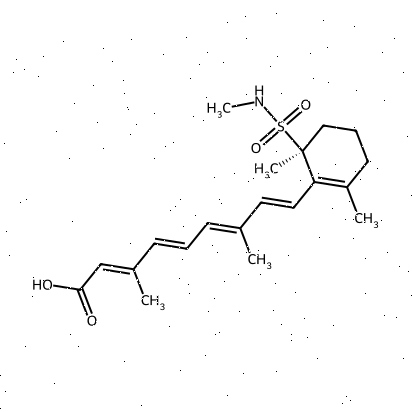 CNS(=O)(=O)[C@@]1(C)CCCC(C)=C1/C=C/C(C)=C/C=C/C(C)=C/C(=O)O